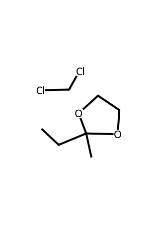 CCC1(C)OCCO1.ClCCl